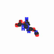 COc1ccc(CNC(=O)c2ccc(-n3cnc4cc(OCCN5CCOCC5)ccc43)nc2-n2nc(C#N)cc2C)c(OC)c1